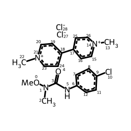 CON(C)C(=O)Nc1ccc(Cl)cc1.C[n+]1ccc(-c2cc[n+](C)cc2)cc1.[Cl-].[Cl-]